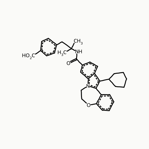 CC(C)(Cc1ccc(C(=O)O)cc1)NC(=O)c1ccc2c(C3CCCCC3)c3n(c2c1)CCOc1ccccc1-3